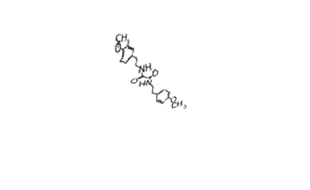 COc1ccc(CCNC(=O)C(=O)NCCc2ccc(OC)cc2)cc1